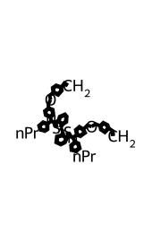 C=Cc1ccc(COCc2ccc(N(c3ccc(CCC)cc3)c3sc(-c4sc(N(c5ccc(CCC)cc5)c5ccc(COCc6ccc(C=C)cc6)cc5)c5ccccc45)c4ccccc34)cc2)cc1